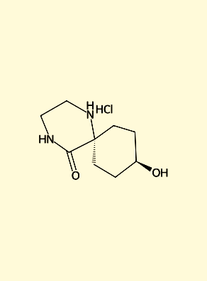 Cl.O=C1NCCN[C@]12CC[C@H](O)CC2